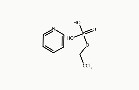 O=P(O)(O)OCC(Cl)(Cl)Cl.c1ccncc1